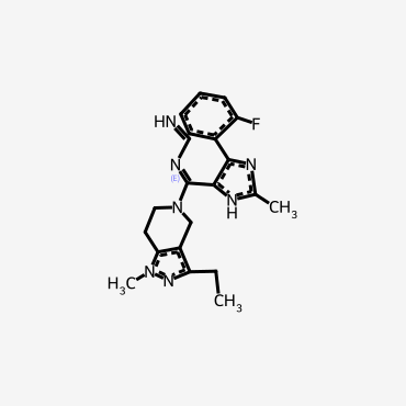 CCc1nn(C)c2c1CN(/C(=N/C=N)c1[nH]c(C)nc1-c1ccccc1F)CC2